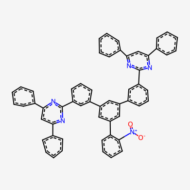 O=[N+]([O-])c1ccccc1-c1cc(-c2cccc(-c3nc(-c4ccccc4)cc(-c4ccccc4)n3)c2)cc(-c2cccc(-c3nc(-c4ccccc4)cc(-c4ccccc4)n3)c2)c1